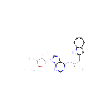 CCOC(=O)[C@H](Cc1cc2ccccc2[nH]1)Nc1ncnc2c1ncn2[C@@H]1O[C@H](CO)C(O)C1O